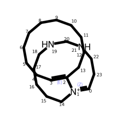 C1=[N+](\C2=C\CCCCCCCCCC2)CCCCCNCNCC/1